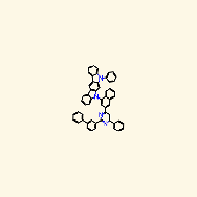 c1ccc(-c2cccc(-c3nc(-c4ccccc4)cc(-c4cc(-n5c6ccccc6c6cc7c8ccccc8n(-c8ccccc8)c7cc65)c5ccccc5c4)n3)c2)cc1